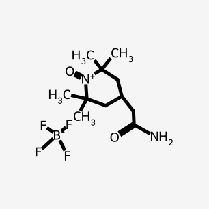 CC1(C)CC(CC(N)=O)CC(C)(C)[N+]1=O.F[B-](F)(F)F